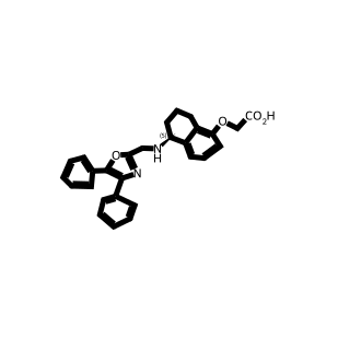 O=C(O)COc1cccc2c1CCC[C@@H]2NCc1nc(-c2ccccc2)c(-c2ccccc2)o1